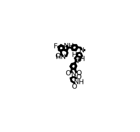 CN(Cc1ccc(-c2[nH]c3cc(F)cc4c3c2CCNC4=O)cc1)C1C[C@@H]2CN(c3ccc4c(c3)C(=O)N(C3CCC(=O)NC3=O)C4=O)C[C@@H]2C1